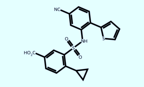 N#Cc1ccc(-c2cccs2)c(NS(=O)(=O)c2cc(C(=O)O)ccc2C2CC2)c1